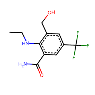 CCNc1c(CO)cc(C(F)(F)F)cc1C(N)=O